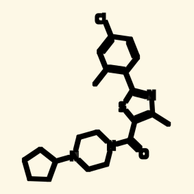 Cc1cc(Cl)ccc1-c1nc(C)c(C(=O)N2CCN(C3CCCC3)CC2)s1